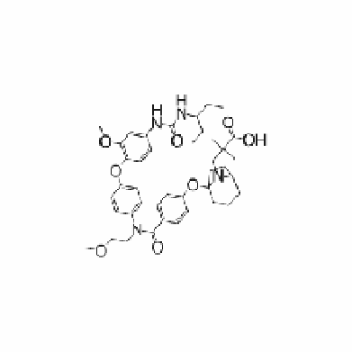 CCC(CC)NC(=O)Nc1ccc(Oc2ccc(N(CCOC)C(=O)c3ccc(OC45CCCC(CC4)N5CC(C)(C)C(=O)O)cc3)cc2)c(OC)c1